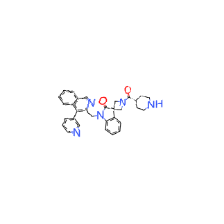 O=C(C1CCNCC1)N1CC2(C1)C(=O)N(Cc1ncc3ccccc3c1-c1cccnc1)c1ccccc12